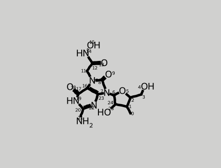 CC1C(CO)OC(n2c(=O)n(CC(=O)NO)c3c(=O)[nH]c(N)nc32)C1O